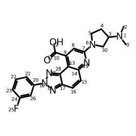 CN(C)C1CCN(c2cc(C(=O)O)c3c(ccc4nn(-c5cccc(F)c5)nc43)n2)C1